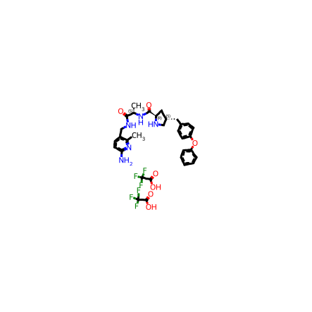 Cc1nc(N)ccc1CNC(=O)[C@H](C)NC(=O)[C@H]1C[C@H](Cc2ccc(Oc3ccccc3)cc2)CN1.O=C(O)C(F)(F)F.O=C(O)C(F)(F)F